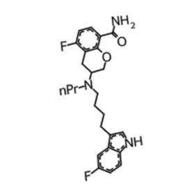 CCCN(CCCCc1c[nH]c2ccc(F)cc12)C1COc2c(C(N)=O)ccc(F)c2C1